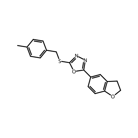 Cc1ccc(CSc2nnc(-c3ccc4c(c3)CCO4)o2)cc1